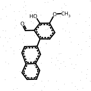 COc1ccc(-c2ccc3ccccc3c2)c(C=O)c1O